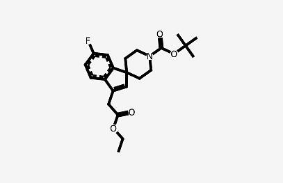 CCOC(=O)CC1=CC2(CCN(C(=O)OC(C)(C)C)CC2)c2cc(F)ccc21